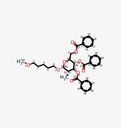 COCCCCCO[C@@H]1OC(COC(=O)c2ccccc2)[C@H](OC(=O)c2ccccc2)C(OC(=O)c2ccccc2)[C@@H]1C